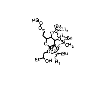 CCC(O)COC1OC(CSOOO)C(O[Si](C)(C)C(C)(C)C)C(O[Si](C)(C)C(C)(C)C)C1O[Si](C)(C)C(C)(C)C